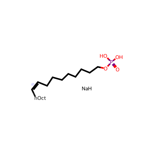 CCCCCCCC/C=C\CCCCCCCCOP(=O)(O)O.[NaH]